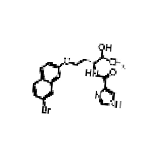 C[C@H](O)[C@@H](CCOc1ccc2ccc(Br)cc2c1)NC(=O)c1c[nH]cn1